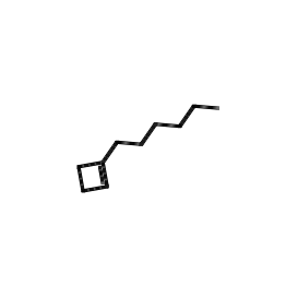 CCCCCCC1=CCC1